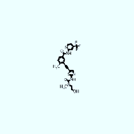 Cc1ccc(C(=O)Nc2cc(C(F)(F)F)ccn2)cc1C#Cc1cnc(NC(=O)N(C)CCO)s1